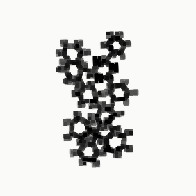 c1ccc(-c2nc(-c3ccccc3)nc(-c3c(-c4ccc(-c5ccc6c(c5)C(c5ccccc5)(c5ccccc5)c5ccccc5-6)cc4)ccc4ccccc34)n2)cc1